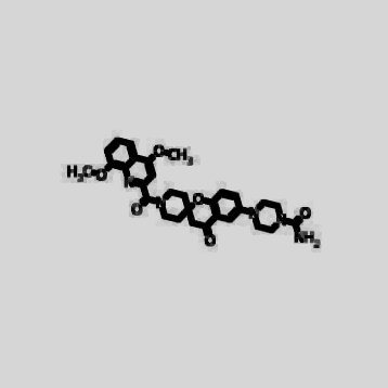 COc1cc(C(=O)N2CCC3(CC2)CC(=O)c2cc(N4CCN(C(N)=O)CC4)ccc2O3)nc2c(OC)cccc12